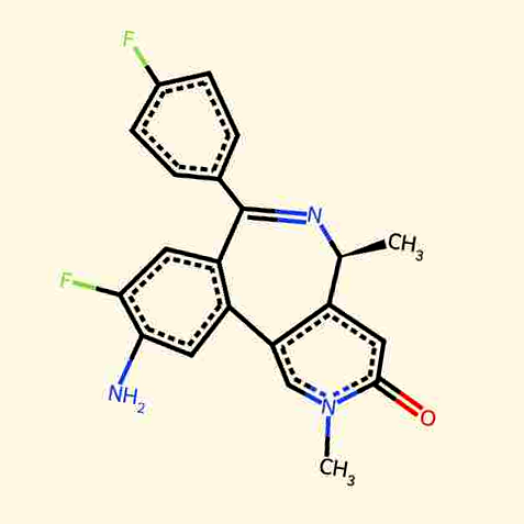 C[C@@H]1N=C(c2ccc(F)cc2)c2cc(F)c(N)cc2-c2cn(C)c(=O)cc21